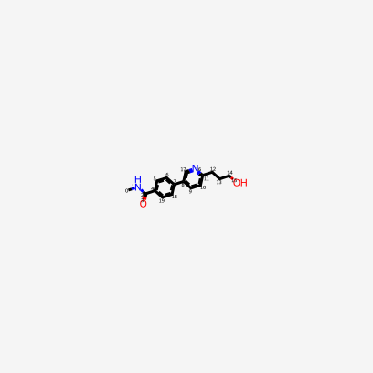 CNC(=O)c1ccc(-c2ccc(CCCO)nc2)cc1